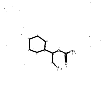 NCC(SC(N)=O)C1CCCCC1